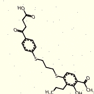 CCCc1c(SCCCSc2ccc(C(=O)CCC(=O)O)cc2)ccc(C(C)=O)c1O